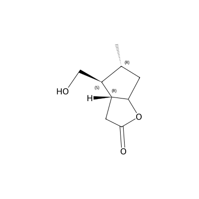 C[C@@H]1CC2OC(=O)C[C@@H]2[C@H]1CO